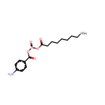 CCCCCCCCCCCCCCCCCC(=O)[O][Ti](=[O])[O]C(=O)c1ccc(N)cc1